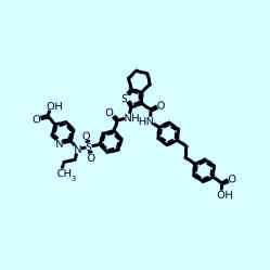 CCCN(c1ccc(C(=O)O)cn1)S(=O)(=O)c1cccc(C(=O)Nc2sc3c(c2C(=O)Nc2ccc(CCc4ccc(C(=O)O)cc4)cc2)CCCC3)c1